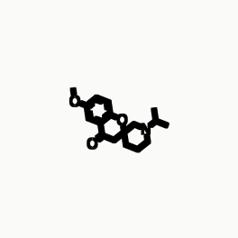 COc1ccc2c(c1)C(=O)CC1(CCCN(C(C)C)C1)O2